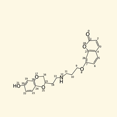 O=c1ccc2ccc(OCCCNCCC3COc4cc(O)ccc4O3)cc2o1